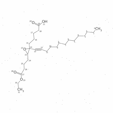 CCCCCCCCCCCCC#CC1(CCCCC(=O)O)OC1CCCC(=O)OCC